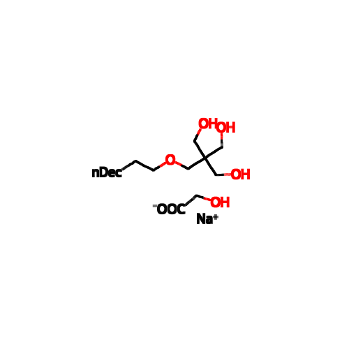 CCCCCCCCCCCCOCC(CO)(CO)CO.O=C([O-])CO.[Na+]